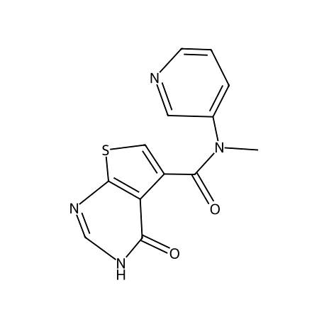 CN(C(=O)c1csc2nc[nH]c(=O)c12)c1cccnc1